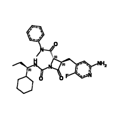 CC[C@@H](NC(=O)N1C(=O)[C@H](Cc2cc(N)ncc2F)[C@H]1C(=O)N(C)c1ccccc1)C1CCCCC1